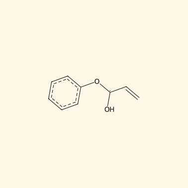 C=C[C](O)Oc1ccccc1